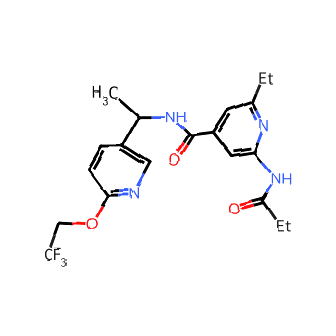 CCC(=O)Nc1cc(C(=O)NC(C)c2ccc(OCC(F)(F)F)nc2)cc(CC)n1